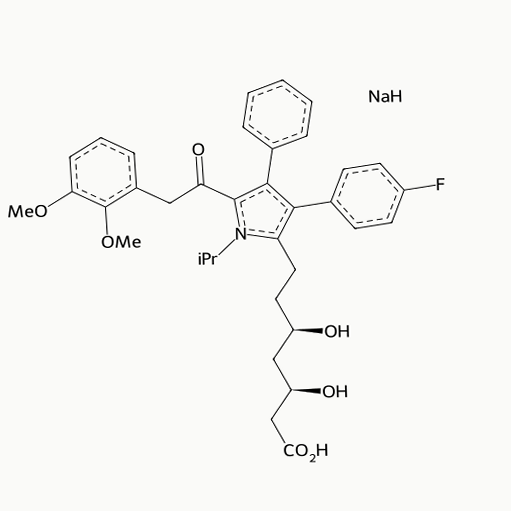 COc1cccc(CC(=O)c2c(-c3ccccc3)c(-c3ccc(F)cc3)c(CC[C@@H](O)C[C@@H](O)CC(=O)O)n2C(C)C)c1OC.[NaH]